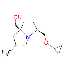 CC1CN2[C@H](COC3CC3)CC[C@@]2(CO)C1